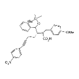 COc1ccc(CN(C(=O)O)[C@H](CCC#Cc2ccc([N+](=O)[O-])cc2)C(O[Si](C)(C)C(C)(C)C)c2ccccc2)cc1